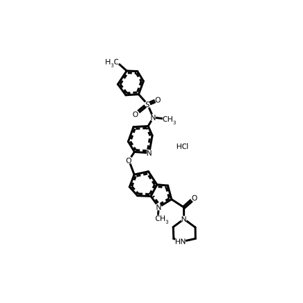 Cc1ccc(S(=O)(=O)N(C)c2ccc(Oc3ccc4c(c3)cc(C(=O)N3CCNCC3)n4C)nc2)cc1.Cl